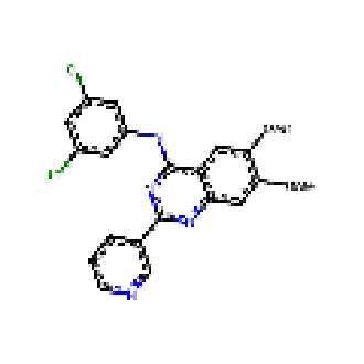 COc1cc2nc(-c3cccnc3)nc(Nc3cc(Cl)cc(Cl)c3)c2cc1OC